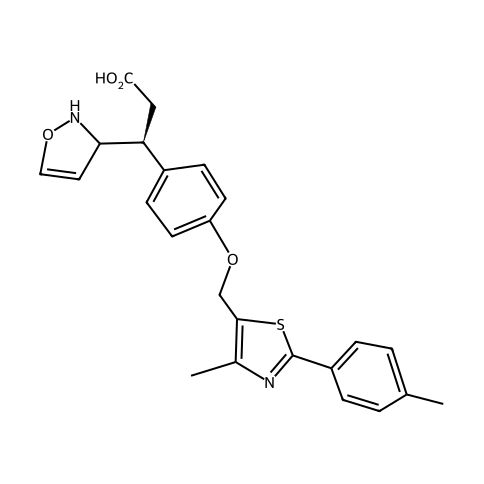 Cc1ccc(-c2nc(C)c(COc3ccc([C@H](CC(=O)O)C4C=CON4)cc3)s2)cc1